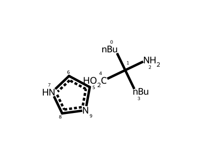 CCCCC(N)(CCCC)C(=O)O.c1c[nH]cn1